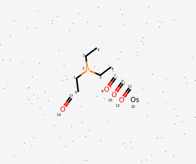 CCP(CC)CC.[C]=O.[C]=O.[C]=O.[C]=O.[Os]